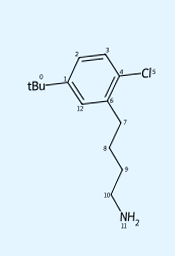 CC(C)(C)c1ccc(Cl)c(CCCCN)c1